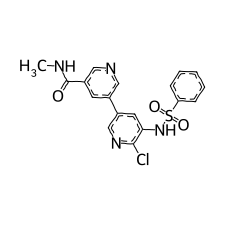 CNC(=O)c1cncc(-c2cnc(Cl)c(NS(=O)(=O)c3ccccc3)c2)c1